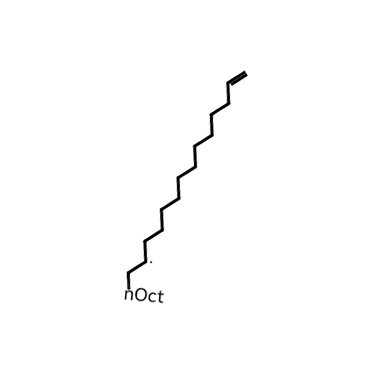 C=CCCCCCCCCCC[CH]CCCCCCCCC